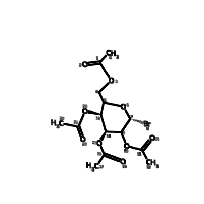 CC(=O)OCC1O[C@H](Br)C(OC(C)=O)[C@@H](OC(C)=O)[C@H]1OC(C)=O